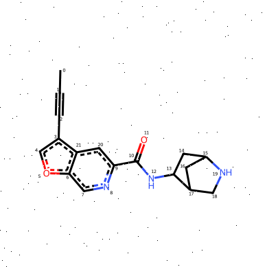 CC#Cc1coc2cnc(C(=O)NC3CC4CC3CN4)cc12